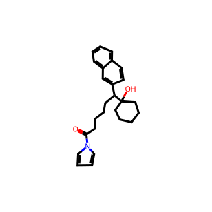 O=C(CCCCC(c1ccc2ccccc2c1)C1(O)CCCCC1)n1cccc1